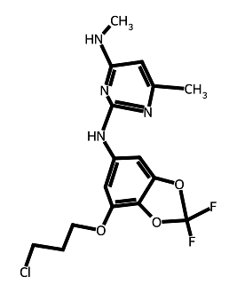 CNc1cc(C)nc(Nc2cc(OCCCCl)c3c(c2)OC(F)(F)O3)n1